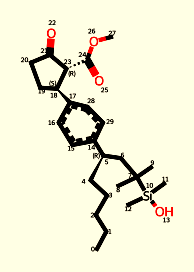 CCCCC[C@H](CC(C)(C)[Si](C)(C)O)c1ccc([C@H]2CCC(=O)[C@@H]2C(=O)OC)cc1